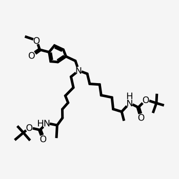 COC(=O)c1ccc(CN(CCCCCCC(C)NC(=O)OC(C)(C)C)CCCCCCC(C)NC(=O)OC(C)(C)C)cc1